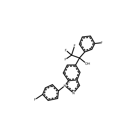 OC(c1cccc(F)c1)(c1ccc2c(cnn2-c2ccc(F)cc2)c1)C(F)(F)F